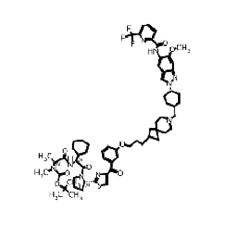 COc1cc2nn([C@H]3CC[C@H](CN4CCC5(CC4)CC(CCCOc4cccc(C(=O)c6csc([C@@H]7CCCN7C(=O)[C@@H](NC(=O)[C@H](C)N(C)C(=O)OC(C)(C)C)C7CCCCC7)n6)c4)C5)CC3)cc2cc1NC(=O)c1cccc(C(F)(F)F)n1